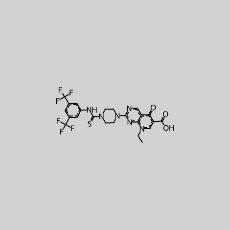 CCn1cc(C(=O)O)c(=O)c2cnc(N3CCN(C(=S)Nc4cc(C(F)(F)F)cc(C(F)(F)F)c4)CC3)nc21